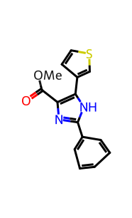 COC(=O)c1nc(-c2ccccc2)[nH]c1-c1ccsc1